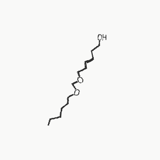 CCCCCCOCOCCC=CCCO